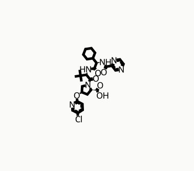 CC(C)(C)[C@H](NC(=O)[C@@H](NC(=O)c1cnccn1)C1CCCCC1)C(=O)N1C[C@H](Oc2ccc(Cl)cn2)C[C@H]1C(=O)O